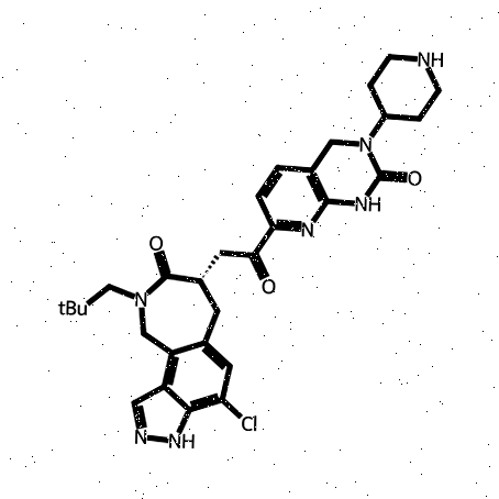 CC(C)(C)CN1Cc2c(cc(Cl)c3[nH]ncc23)C[C@@H](CC(=O)c2ccc3c(n2)NC(=O)N(C2CCNCC2)C3)C1=O